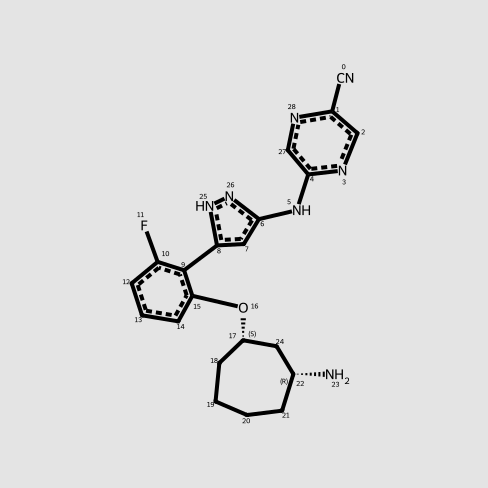 N#Cc1cnc(Nc2cc(-c3c(F)cccc3O[C@H]3CCCC[C@@H](N)C3)[nH]n2)cn1